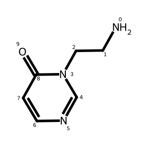 NCCn1cnccc1=O